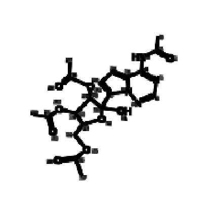 CC(=O)Nc1ncnn2c(C3(O)OC(COC(C)=O)[C@@H](OC(C)=O)[C@H]3OC(C)=O)ccc12